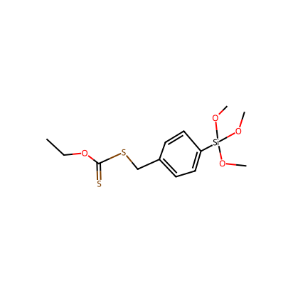 CCOC(=S)SCc1ccc([Si](OC)(OC)OC)cc1